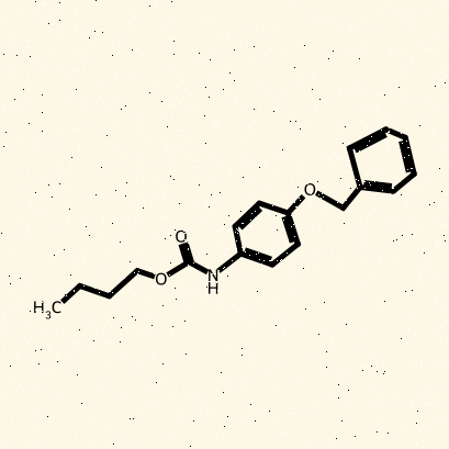 CCCCOC(=O)Nc1ccc(OCc2ccccc2)cc1